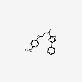 CN(CCOc1ccc(C=O)cc1)c1ncc(-c2ccccc2)o1